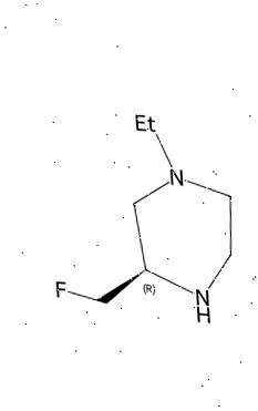 CCN1CCN[C@@H](CF)C1